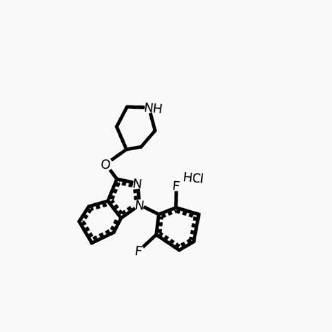 Cl.Fc1cccc(F)c1-n1nc(OC2CCNCC2)c2ccccc21